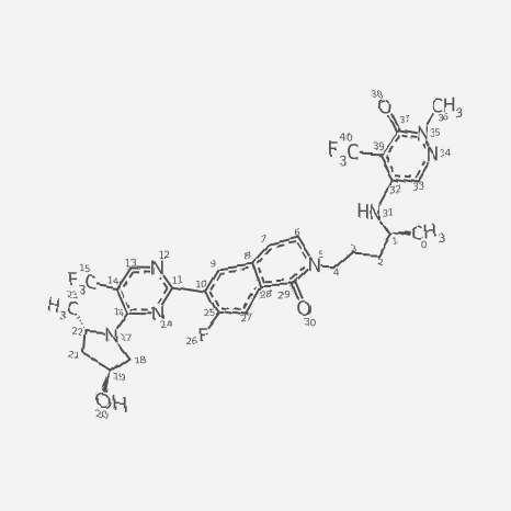 C[C@@H](CCCn1ccc2cc(-c3ncc(C(F)(F)F)c(N4C[C@@H](O)C[C@@H]4C)n3)c(F)cc2c1=O)Nc1cnn(C)c(=O)c1C(F)(F)F